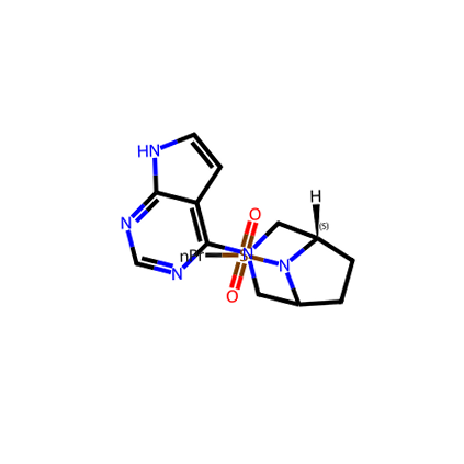 CCCS(=O)(=O)N1C2CC[C@H]1CN(c1ncnc3[nH]ccc13)C2